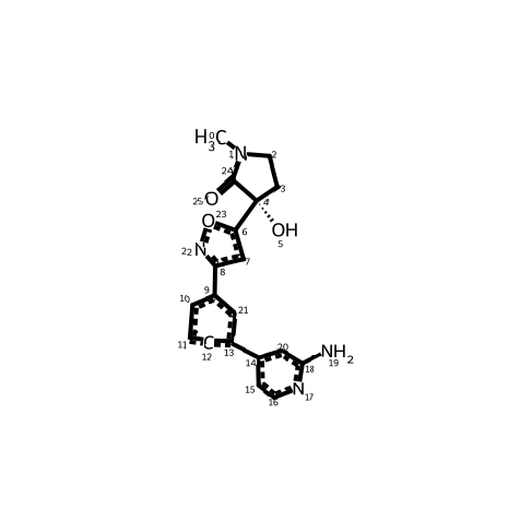 CN1CC[C@@](O)(c2cc(-c3cccc(-c4ccnc(N)c4)c3)no2)C1=O